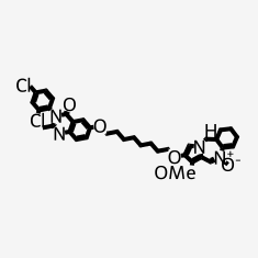 COc1c(OCCCCCCCCOc2ccc3nc(C)n(-c4ccc(Cl)cc4Cl)c(=O)c3c2)cn2c1C=[N+]([O-])C1=CCCC[C@H]1C2